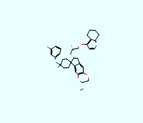 COC[C@H]1COc2cc3c(cc2O1)C1(CCC(Nc2cccc(Cl)c2)(C(=O)O)CC1)[C@@H](C[C@@H](C)COc1ccnc2c1[C@H](C)CCC2)C3